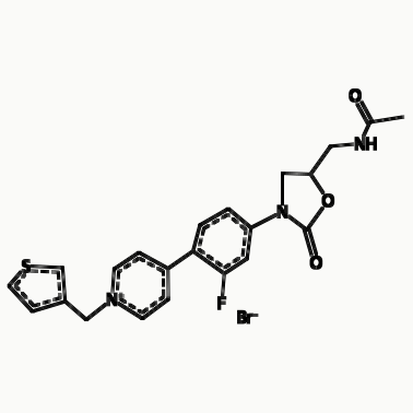 CC(=O)NCC1CN(c2ccc(-c3cc[n+](Cc4ccsc4)cc3)c(F)c2)C(=O)O1.[Br-]